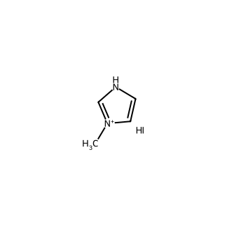 C[n+]1cc[nH]c1.I